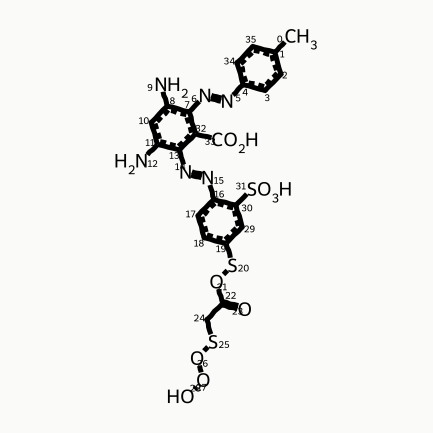 Cc1ccc(N=Nc2c(N)cc(N)c(N=Nc3ccc(SOC(=O)CSOOO)cc3S(=O)(=O)O)c2C(=O)O)cc1